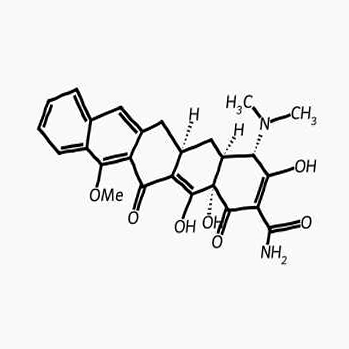 COc1c2c(cc3ccccc13)C[C@H]1C[C@H]3[C@H](N(C)C)C(O)=C(C(N)=O)C(=O)[C@@]3(O)C(O)=C1C2=O